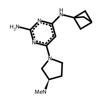 CN[C@@H]1CCN(c2cc(NC34CC(C3)C4)nc(N)n2)C1